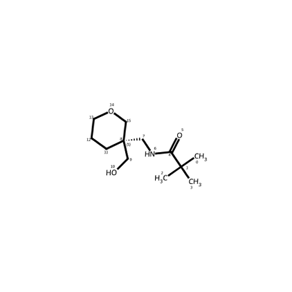 CC(C)(C)C(=O)NC[C@]1(CO)CCCOC1